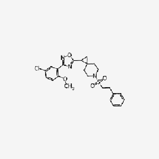 COc1ccc(Cl)cc1-c1noc(C2CC23CCN(S(=O)(=O)CCc2ccccc2)CC3)n1